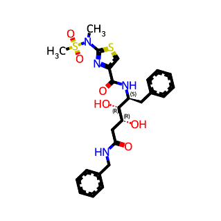 CN(c1nc(C(=O)N[C@@H](Cc2ccccc2)[C@@H](O)[C@H](O)CC(=O)NCc2ccccc2)cs1)S(C)(=O)=O